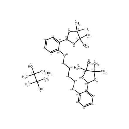 B.CC(C)(O)C(C)(C)O.CC1(C)OB(c2ccccc2OCCCCOc2ccccc2B2OC(C)(C)C(C)(C)O2)OC1(C)C